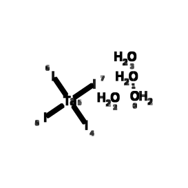 O.O.O.O.[I][Ta]([I])([I])[I]